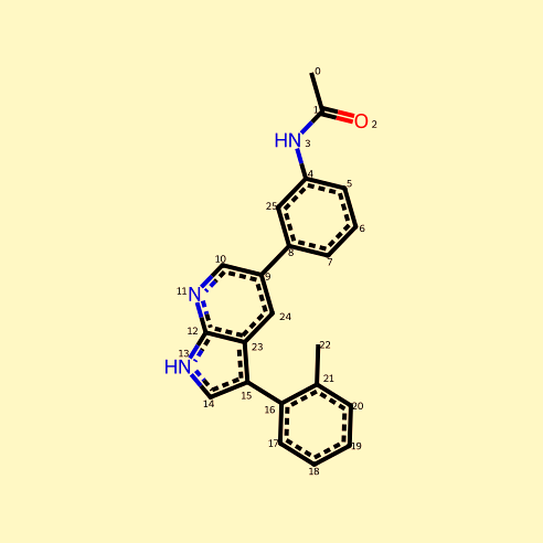 CC(=O)Nc1cccc(-c2cnc3[nH]cc(-c4ccccc4C)c3c2)c1